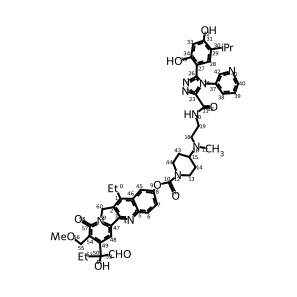 CCc1c2c(nc3ccc(OC(=O)N4CCC(N(C)CCNC(=O)c5nnc(-c6cc(C(C)C)c(O)cc6O)n5-c5cccnc5)CC4)cc13)-c1cc(C(O)(C=O)CC)c(COC)c(=O)n1C2